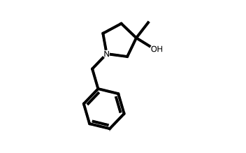 CC1(O)CCN(Cc2cc[c]cc2)C1